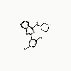 Oc1ccc(Cl)cc1-c1nc(N[C@@H]2CCCNC2)c2ccccc2n1